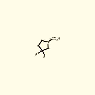 O=C(O)N1CCC(F)(F)C1